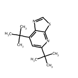 CC(C)(C)c1cc(C(C)(C)C)c2ncsc2n1